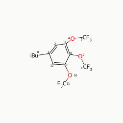 CCC(C)c1cc(OC(F)(F)F)c(OC(F)(F)F)c(OC(F)(F)F)c1